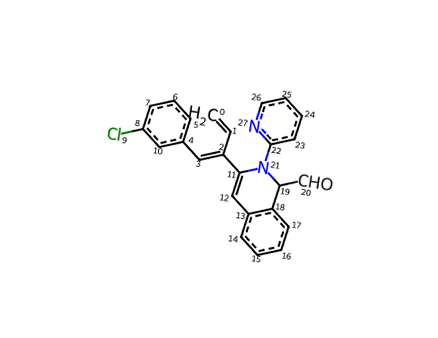 C=CC(=Cc1cccc(Cl)c1)C1=Cc2ccccc2C(C=O)N1c1ccccn1